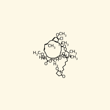 COc1cc2cc(c1Cl)N(C)C(=O)C[C@H](OC(=O)[C@H](C)N(C)C(=O)CCCCCN1C(=O)CCC1=O)[C@]1(C)O[C@H]1C(C)[C@@H]1C[C@@](O)(NC(=O)O1)[C@H](OC)/C=C/C=C(\C)C2